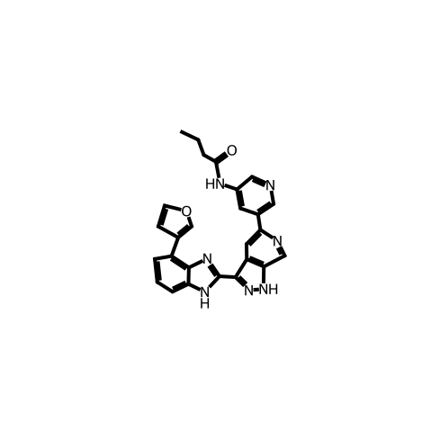 CCCC(=O)Nc1cncc(-c2cc3c(-c4nc5c(-c6ccoc6)cccc5[nH]4)n[nH]c3cn2)c1